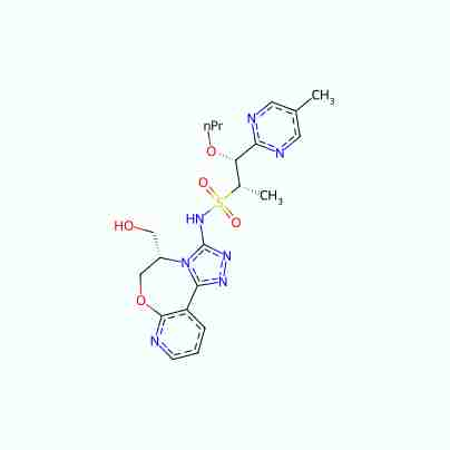 CCCO[C@H](c1ncc(C)cn1)[C@H](C)S(=O)(=O)Nc1nnc2n1[C@@H](CO)COc1ncccc1-2